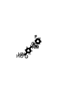 O=C(NO)c1ccc(CNS(=O)(=O)c2cccc(F)c2)cc1